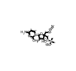 CC(C)(C)[Si](C)(C)OCC1(CN=[N+]=[N-])O[C@@H](N2C=CC(N)=NC2O)[C@H](F)[C@@H]1O